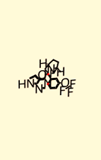 O=C(c1cccc(OC(F)(F)F)c1)N1[C@@H]2CC[C@@H]1CN(c1ncnc3[nH]ccc13)C2